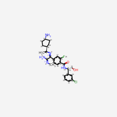 C=C(/N=C(\C(N)=N/C)c1ccc(C(=O)N[C@H](CO)c2cccc(Cl)c2)c(F)c1)[C@H]1CC[C@@H](N)CC1